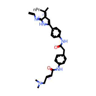 C=C/N=C1/NC(c2ccc(NC(=O)Cc3ccc(NC(=O)/C=C/CN(C)C)cc3)cc2)=C/C1=C(\C)CCC